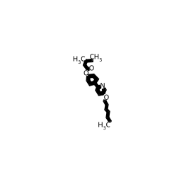 CCCCCCCOc1ccc(-c2ccc(OC(=O)CC(C)CC)cc2)nc1